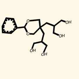 OCC(CO)CC1(CC(CO)CO)COC(c2ccccc2)OC1